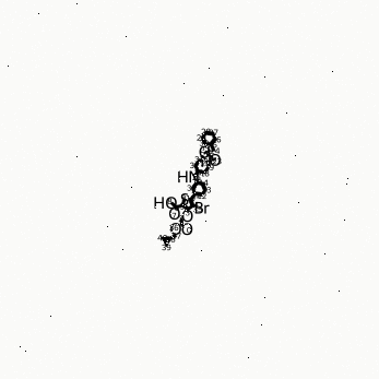 O=C(COc1c(C(=O)O)sc(-c2cccc(NC3CCN(S(=O)(=O)Cc4ccccc4)CC3)c2)c1Br)OCC1CC1